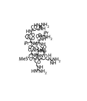 CSCC[C@H](NC(=O)[C@H](CCCNC(=N)N)NC(=O)[C@H](CCCNC(=N)N)NC(=O)[C@H](C)NC(=O)CNC(=O)[C@H](CO)NC(=O)[C@@H](N)C(C)C)C(=O)N[C@@H](CCSC)C(=O)N[C@H](C(=O)N1CCC[C@H]1C(=O)N[C@@H](CCCNC(=N)N)C(=O)O)C(C)C